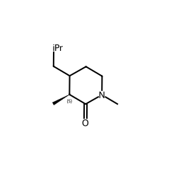 CC(C)CC1CCN(C)C(=O)[C@H]1C